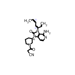 C=C/C(=C\C=C/C)n1c(=O)n([C@@H]2CCCN(C(=O)CC#N)C2)c2ccnc(N)c21